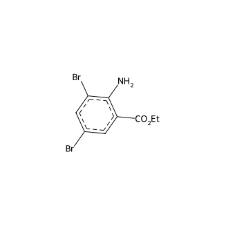 CCOC(=O)c1cc(Br)cc(Br)c1N